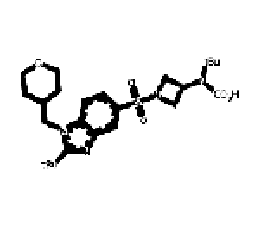 CC(C)(C)c1nc2cc(S(=O)(=O)N3CC(N(C(=O)O)C(C)(C)C)C3)ccc2n1CC1CCOCC1